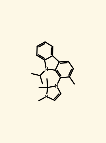 Cc1ccc2c3ccccc3n(C(C)C)c2c1N1C=CN(C)C1(C)C